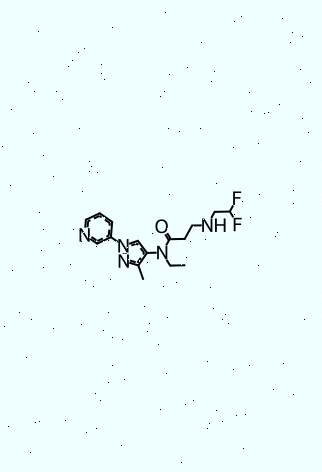 CCN(C(=O)CCNCC(F)F)c1cn(-c2cccnc2)nc1C